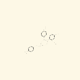 [C-]#[N+]c1ccc(CCN2CCN(c3ccc(Br)cc3C#N)C(c3ccc(Cl)cc3)C2)cc1